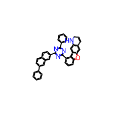 C1=Cc2cc3oc4cccc(-c5nc(-c6ccccc6)nc(-c6ccc7ccc(-c8ccccc8)cc7c6)n5)c4c3cc2NC1